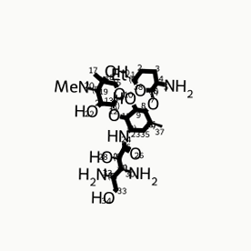 CC[C@@H]1CCC(N)[C@@H](OC2C(O)C(O[C@H]3OCC(C)(O)[C@H](NC)C3O)[C@H](NC(=O)[C@@H](O)[C@@H](N)[C@@H](N)CO)C[C@@H]2C)O1